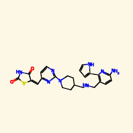 Nc1ccc(CNCC2CCN(c3nccc(C=C4SC(=O)NC4=O)n3)CC2)c(-c2ccc[nH]2)n1